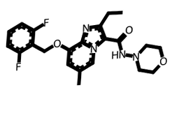 CCc1nc2c(OCc3c(F)cccc3F)cc(C)cn2c1C(=O)NN1CCOCC1